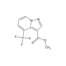 COC(=O)c1cnn2cccc(C(F)(F)F)c12